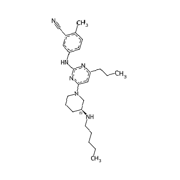 CCCCCN[C@H]1CCCN(c2cc(CCC)nc(Nc3ccc(C)c(C#N)c3)n2)C1